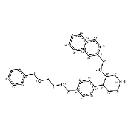 c1ccc(COCCOCc2ccc(C3CCNCC3OCc3ccc4ccccc4c3)cc2)cc1